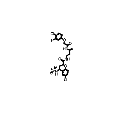 C=C(CCNC(=O)C1CC(NS(C)(=O)=O)c2cc(Cl)ccc2O1)NC(=O)COc1ccc(Cl)c(F)c1